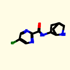 O=C(NC1CC2CNC1C2)c1ncc(Cl)cn1